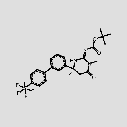 CN1C(=O)C[C@@](C)(c2cccc(-c3ccc(S(F)(F)(F)(F)F)cc3)c2)NC1=NC(=O)OC(C)(C)C